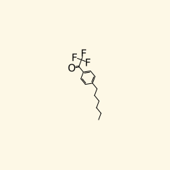 CCCCCCc1ccc(C(=O)C(F)(F)F)cc1